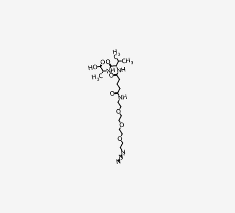 CC(C)[C@H](NC(=O)CCCC(=O)NCCOCCOCCOCCN=[N+]=[N-])C(=O)N[C@@H](C)C(=O)O